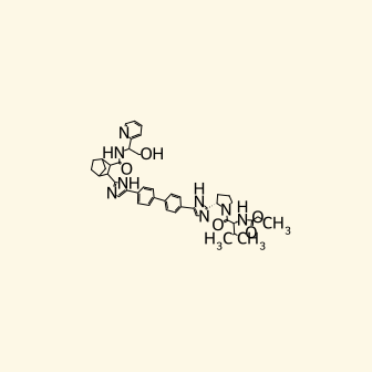 COC(=O)N[C@H](C(=O)N1CCC[C@H]1c1ncc(-c2ccc(-c3ccc(-c4cnc(C5C6CCC(C6)C5C(=O)NC(CO)c5ccccn5)[nH]4)cc3)cc2)[nH]1)C(C)C